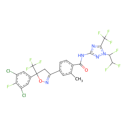 Cc1cc(C2=NOC(c3cc(Cl)c(F)c(Cl)c3)(C(F)(F)F)C2)ccc1C(=O)Nc1nc(C(F)(F)F)n(C(F)C(F)F)n1